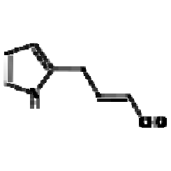 O=CC=CCc1ccc[nH]1